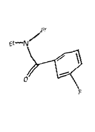 CCN(C(=O)c1cccc(F)c1)C(C)C